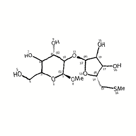 CO[C@H]1OC(CO)C(O)[C@H](O)C1O[C@@H]1O[C@@H](CSC)C(O)C1O